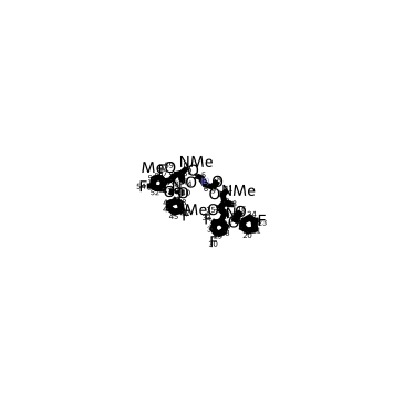 CNC(OC(=O)/C=C/C(=O)OC(NC)c1cn(S(=O)(=O)c2cccc(F)c2)c(-c2ccc(F)cc2F)c1OC)c1cn(S(=O)(=O)c2cccc(F)c2)c(-c2ccc(F)cc2F)c1OC